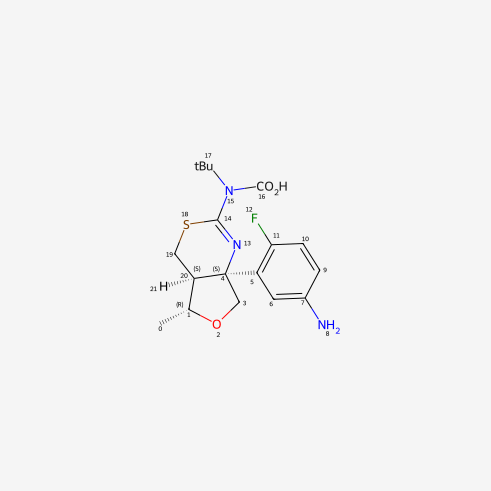 C[C@H]1OC[C@]2(c3cc(N)ccc3F)N=C(N(C(=O)O)C(C)(C)C)SC[C@H]12